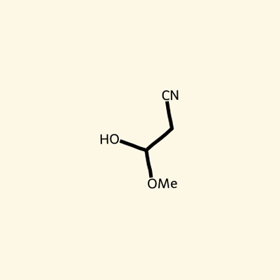 COC(O)CC#N